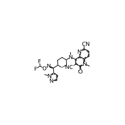 CN(c1c(C#N)c(=O)n(C)c2ccc(C#N)nc12)C1CCC(/C(=N/OC(F)F)c2ccnn2C)CC1